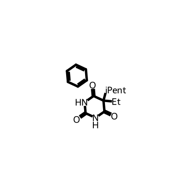 CCCC(C)C1(CC)C(=O)NC(=O)NC1=O.c1ccccc1